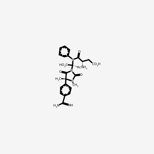 CC(=O)[C@@](C(=O)O)(N1C(=O)N(C)[C@](C)(c2ccc(C(=N)N)cc2)C1=O)N(C(=O)[C@@H](N)CC(=O)O)c1ccccc1